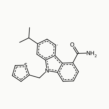 CC(C)c1c[c]c2c3c(C(N)=O)cccc3n(Cc3cccs3)c2c1